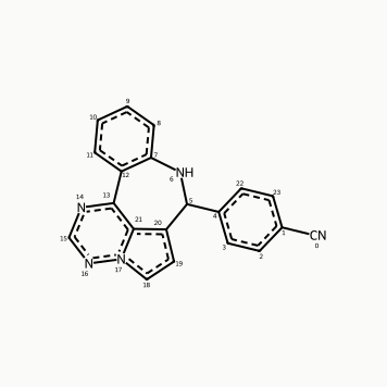 N#Cc1ccc(C2Nc3ccccc3-c3ncnn4ccc2c34)cc1